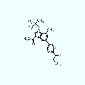 CCC(=O)c1ncc(-c2cc(C)c3c(c2)c(C(C)=O)nn3CC(C)(C)C)cn1